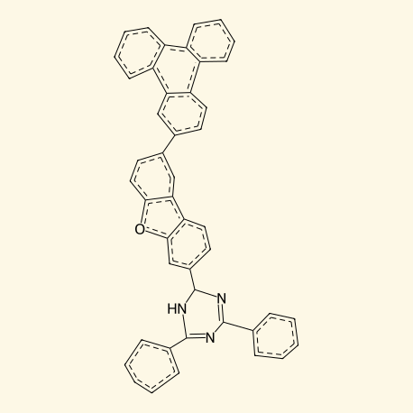 c1ccc(C2=NC(c3ccc4c(c3)oc3ccc(-c5ccc6c7ccccc7c7ccccc7c6c5)cc34)NC(c3ccccc3)=N2)cc1